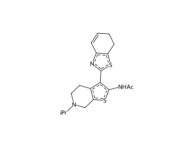 CC(=O)Nc1sc2c(c1-c1nc3c(s1)CCC=C3)CCN(C(C)C)C2